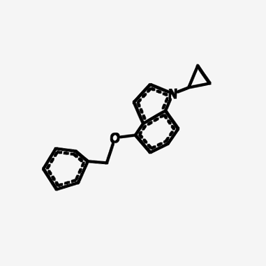 c1ccc(COc2cccc3c2ccn3C2CC2)cc1